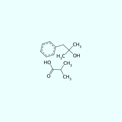 CC(C)(O)Cc1ccccc1.CC(C)C(=O)O